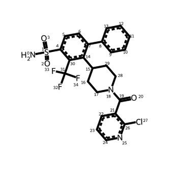 NS(=O)(=O)c1ccc(-c2ccccc2)c(C2CCN(C(=O)c3cccnc3Cl)CC2)c1C(F)(F)F